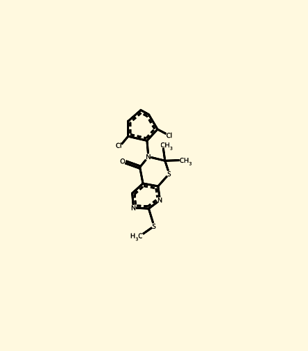 CSc1ncc2c(n1)SC(C)(C)N(c1c(Cl)cccc1Cl)C2=O